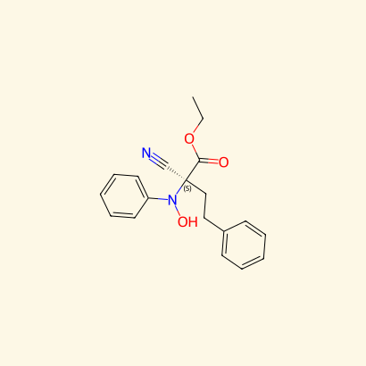 CCOC(=O)[C@@](C#N)(CCc1ccccc1)N(O)c1ccccc1